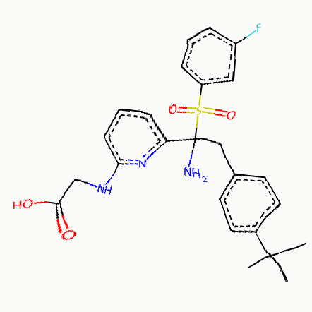 CC(C)(C)c1ccc(CC(N)(c2cccc(NCC(=O)O)n2)S(=O)(=O)c2cccc(F)c2)cc1